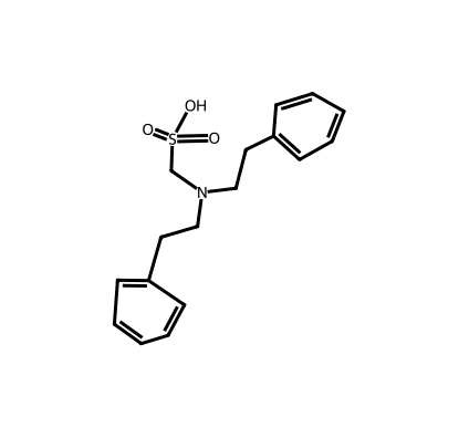 O=S(=O)(O)CN(CCc1ccccc1)CCc1ccccc1